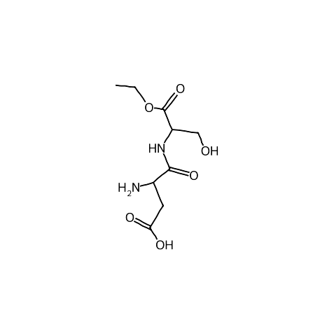 CCOC(=O)C(CO)NC(=O)C(N)CC(=O)O